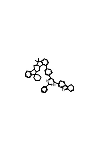 CC1(C)C2=CC3c4ccccc4C4(CCCCC4)C3C=C2c2c(-c3ccc(C4=NC(c5ccccc5)NC(c5ccc6c7c(oc6c5)C=CCC7)=C4)cc3)cccc21